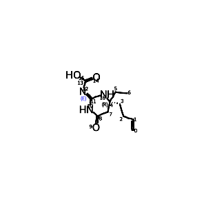 C=CCC[C@]1(CC)CC(=O)N/C(=N/C(=O)O)N1